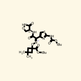 CC1(C)CC(O/N=C(\C(=O)N[C@H]2CONC2=O)c2csc(NC(=O)OC(C)(C)C)n2)(C(=O)OC(C)(C)C)C1